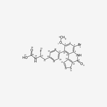 COc1cc(Br)c2[nH]c(=O)c3sccc3c2c1-c1ccc(CC(F)NC(=O)O)cc1